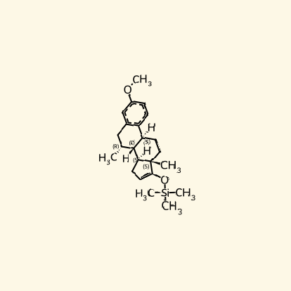 COc1ccc2c(c1)C[C@@H](C)[C@@H]1[C@@H]2CC[C@]2(C)C(O[Si](C)(C)C)=CC[C@@H]12